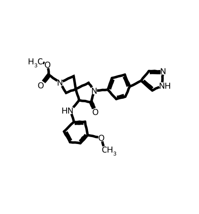 COC(=O)N1CC2(C1)CN(c1ccc(-c3cn[nH]c3)cc1)C(=O)C2Nc1cccc(OC)c1